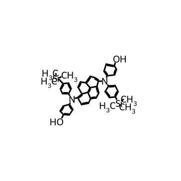 C[Si](C)(C)c1ccc(N(c2ccc(O)cc2)c2ccc3ccc4c(N(c5ccc(O)cc5)c5ccc([Si](C)(C)C)cc5)ccc5ccc2c3c54)cc1